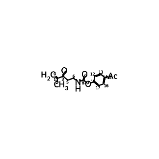 C=C(C)C(=O)CCNC(=O)Oc1ccc(C(C)=O)cc1